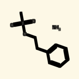 CS(=O)(=O)OCCc1ccccc1.N